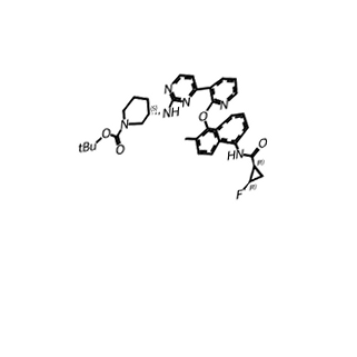 Cc1ccc2c(NC(=O)[C@H]3C[C@H]3F)cccc2c1Oc1ncccc1-c1ccnc(N[C@H]2CCCN(C(=O)OC(C)(C)C)C2)n1